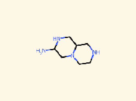 NC1CN2CCNCC2CN1